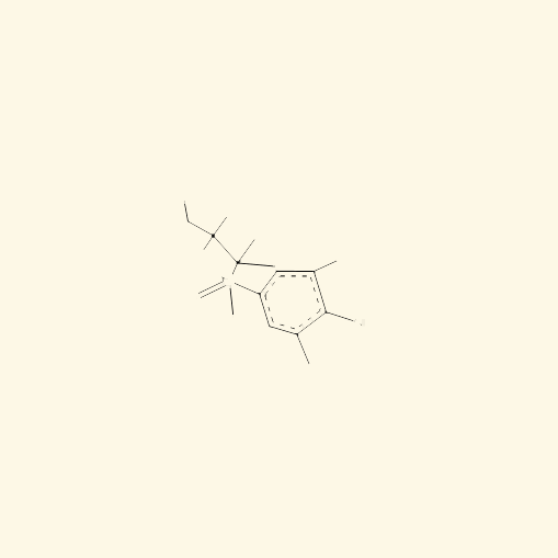 Cc1cc(S(=O)(F)(F)C(F)(F)C(F)(F)CC(F)(F)F)cc(C)c1N